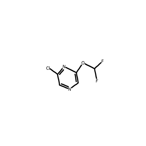 FC(F)Oc1cncc(Cl)n1